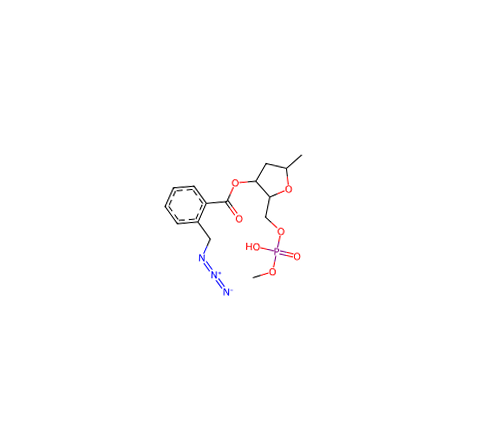 COP(=O)(O)OCC1OC(C)CC1OC(=O)c1ccccc1CN=[N+]=[N-]